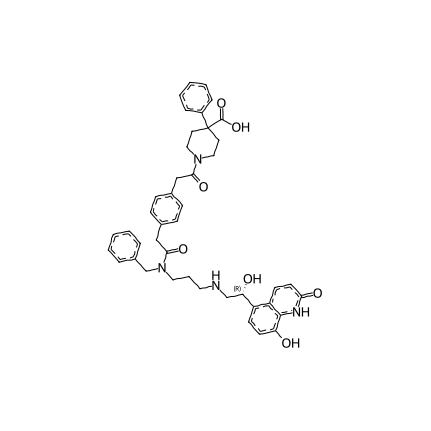 O=C(Cc1ccc(CC(=O)N(CCCNC[C@H](O)c2ccc(O)c3[nH]c(=O)ccc23)Cc2ccccc2)cc1)N1CCC(C(=O)O)(c2ccccc2)CC1